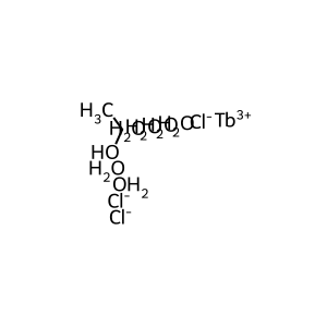 CCO.O.O.O.O.O.O.[Cl-].[Cl-].[Cl-].[Tb+3]